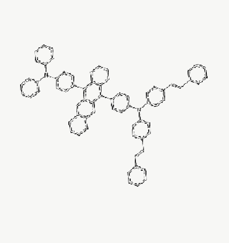 C(=Cc1ccc(N(c2ccc(C=Cc3ccccc3)cc2)c2ccc(-c3c4ccccc4c(-c4ccc(N(c5ccccc5)c5ccccc5)cc4)c4cc5ccccc5cc34)cc2)cc1)c1ccccc1